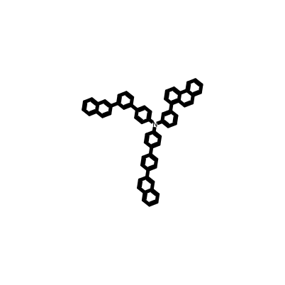 c1cc(-c2ccc(N(c3ccc(-c4ccc(-c5ccc6ccccc6c5)cc4)cc3)c3cccc(-c4cccc5c4ccc4ccccc45)c3)cc2)cc(-c2ccc3ccccc3c2)c1